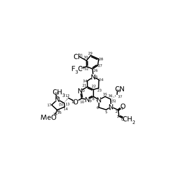 C=CC(=O)N1CCN(c2nc(OC[C@@H]3C[C@@H](OC)CN3C)nc3c2CCN(c2cccc(Cl)c2C(F)(F)F)C3)C[C@@H]1CC#N